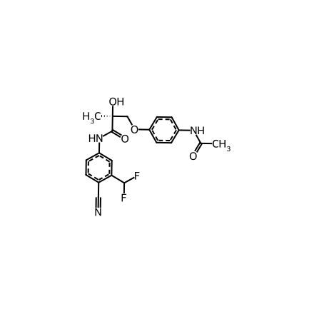 CC(=O)Nc1ccc(OC[C@](C)(O)C(=O)Nc2ccc(C#N)c(C(F)F)c2)cc1